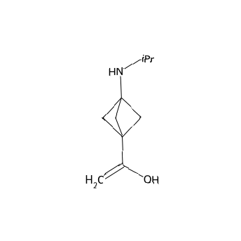 C=C(O)C12CC(NC(C)C)(C1)C2